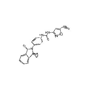 CC(C)(C)c1cc(NC(=O)Nc2ccc(N3C(=O)c4ccccc4C3=O)cc2)no1